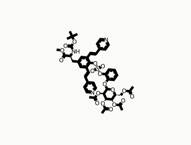 COC(=O)[C@H](Cc1cc(/C=C/c2ccncc2)c(OS(=O)(=O)Oc2ccccc2OC2O[C@H](COC(C)=O)[C@H](OC(C)=O)[C@H](OC(C)=O)[C@H]2OC(C)=O)c(/C=C/c2ccncc2)c1)NC(=O)OC(C)(C)C